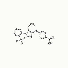 CCn1c(-c2ccccc2C(F)(F)F)cs/c1=N\c1ccc(C(=O)O)cc1